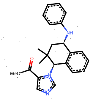 COC(=O)c1cncn1[C@@H]1c2ccccc2[C@H](Nc2ccccc2)CC1(C)C